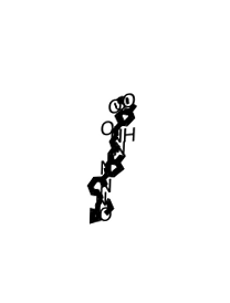 Cc1ccc(C(=O)NCc2cc3nc(-c4cccc(N5CCOC6(CCC6)C5)n4)ccc3cn2)cc1S(C)(=O)=O